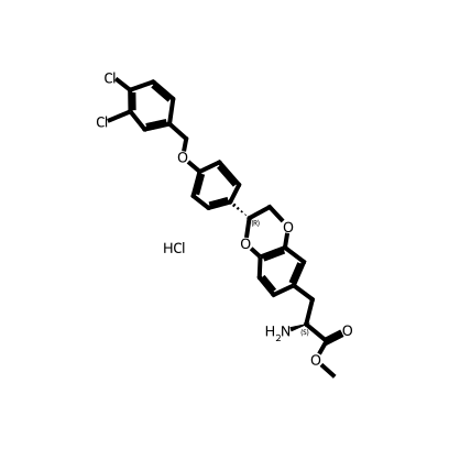 COC(=O)[C@@H](N)Cc1ccc2c(c1)OC[C@@H](c1ccc(OCc3ccc(Cl)c(Cl)c3)cc1)O2.Cl